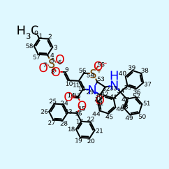 Cc1ccc(S(=O)(=O)O/C=C/C2=C(C(=O)OC(c3ccccc3)c3ccccc3)N3C(=O)C(NC(c4ccccc4)(c4ccccc4)c4ccccc4)C3[S+]([O-])C2)cc1